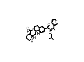 CC(C)CON(C(=O)c1ccc2c(c1)CCN1C(=O)[C@H]3CCCN[C@H]3C[C@H]21)[C@H](C)c1ccccc1